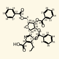 CCc1[se]c([C@@H]2O[C@H](COC(=O)c3ccccc3)[C@@H](OC(=O)c3ccccc3)[C@H]2OC(=O)c2ccccc2)nc1C(=O)O